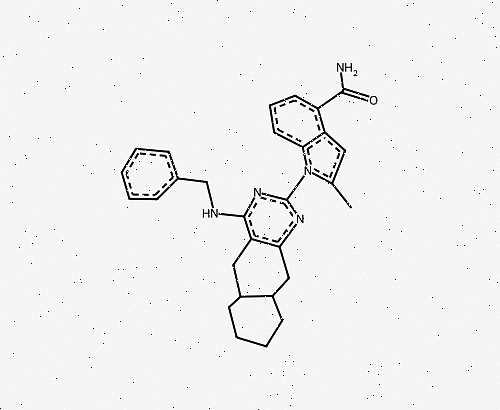 Cc1cc2c(C(N)=O)cccc2n1-c1nc2c(c(NCc3ccccc3)n1)CC1CCCCC1C2